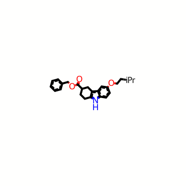 CC(C)CCOc1ccc2[nH]c3c(c2c1)CC(C(=O)OCc1ccccc1)CC3